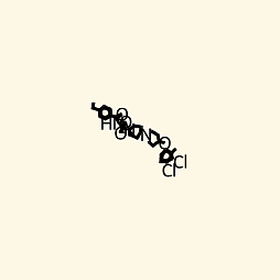 CCc1ccc(C(=O)NS(=O)(=O)N2CCC(N3CCC(Oc4ccc(Cl)c(Cl)c4C)CC3)CC2)cc1